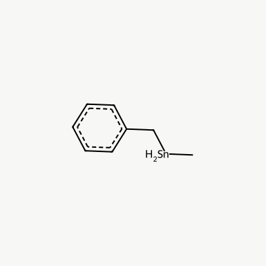 [CH3][SnH2][CH2]c1ccccc1